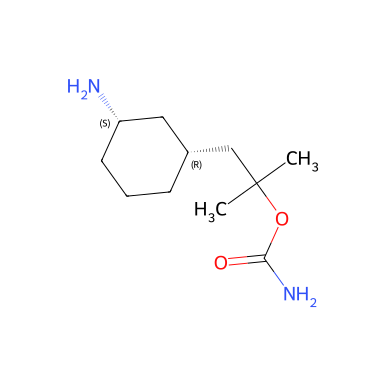 CC(C)(C[C@@H]1CCC[C@H](N)C1)OC(N)=O